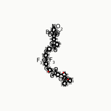 O=C1c2ccc(-c3cccc4c3C(=O)N(c3ccccc3-c3ccccc3)C4=O)cc2C(=O)N1c1ccc(Oc2ccc(C(c3ccc(Oc4ccc(N5C(=O)c6cccc(-c7ccc8c(c7)C(=O)N(c7c(Br)cc([N+](=O)[O-])cc7Br)C8=O)c6C5=O)cc4)cc3)(C(F)(F)F)C(F)(F)F)cc2)cc1